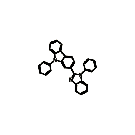 c1ccc(-n2c(-c3ccc4c5ccccc5n(-c5ccccc5)c4c3)nc3ccccc32)cc1